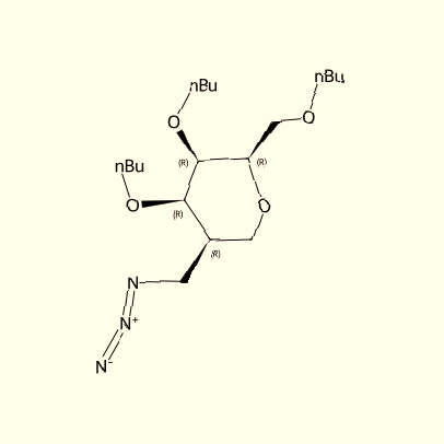 CCCCOC[C@H]1OC[C@@H](CN=[N+]=[N-])[C@@H](OCCCC)[C@H]1OCCCC